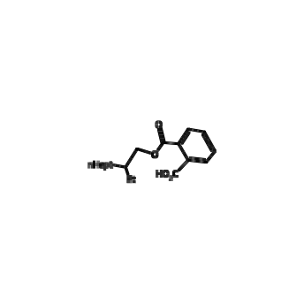 CCCCCCCC(CC)COC(=O)c1ccccc1C(=O)O